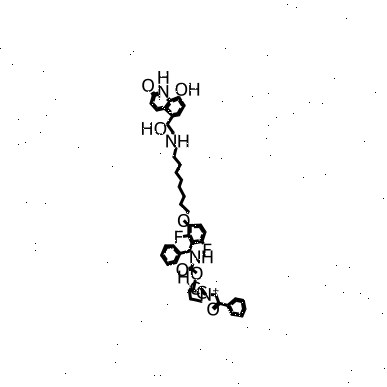 O=C(NC(c1ccccc1)c1c(F)ccc(OCCCCCCCCCNCC(O)c2ccc(O)c3[nH]c(=O)ccc23)c1F)O[C@H]1C[N+]2(CC(=O)c3ccccc3)CCC1CC2